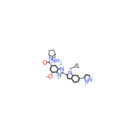 COc1cc(C(=O)N2CC3CCC2C3N)cc2nc(-c3cc4ccc(-c5ccnn5C)cc4n3CC3CC3)n(C)c12